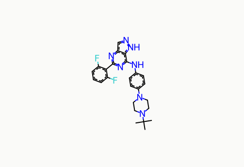 CC(C)(C)N1CCN(c2ccc(Nc3nc(-c4c(F)cccc4F)nc4cn[nH]c34)cc2)CC1